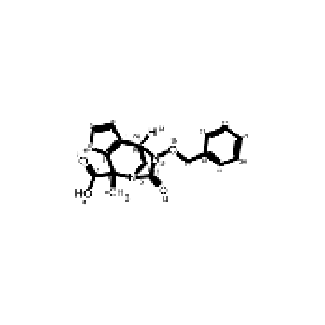 CC1(C(=O)O)c2sccc2[C@H]2CN1C(=O)N2OCc1ccccc1